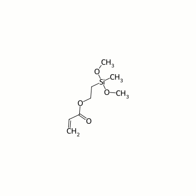 C=CC(=O)OCC[Si](C)(OC)OC